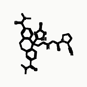 CN(C)C(=O)c1ccc2c(c1)CCc1cc(C(=O)N(C)C)ccc1C2(CCNCC(=O)N1CCC[C@H]1C#N)c1nc(=O)o[nH]1